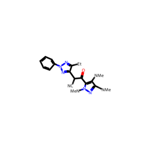 CCc1nn(-c2ccccc2)nc1C(C#N)C(=O)c1c(NC)c(NC)nn1NC